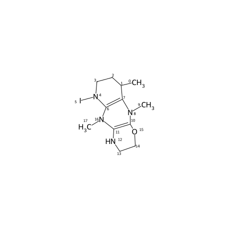 CC1CCN(I)C2=C1N(C)C1=C(NCCO1)N2C